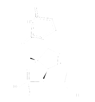 COC[C@H]1O[C@@H](n2ccc(=O)[nH]c2=O)[C@H](O)[C@@H]1OP(C)(=O)O